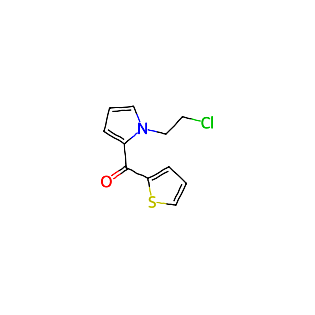 O=C(c1cccs1)c1cccn1CCCl